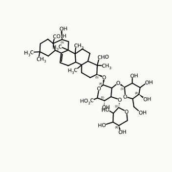 CC1(C)CCC2(C(=O)O)C(C1)C1=CCC3C4(C)CC[C@H](O[C@@H]5OC(C(=O)O)[C@@H](O)C(O[C@@H]6OC[C@@H](O)C(O)C6O)C5O[C@@H]5OC(CO)[C@H](O)C(O)C5O)C(C)(C=O)C4CCC3(C)C1(C)C[C@@H]2O